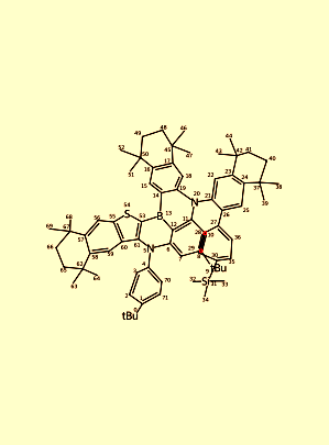 CC(C)(C)c1ccc(N2c3cc(C(C)(C)C)cc4c3B(c3cc5c(cc3N4c3cc4c(cc3-c3ccc([Si](C)(C)C)cc3)C(C)(C)CCC4(C)C)C(C)(C)CCC5(C)C)c3sc4cc5c(cc4c32)C(C)(C)CCC5(C)C)cc1